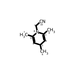 CC1=CC(C)C=C(C)N1CC#N